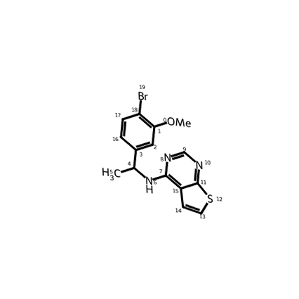 COc1cc(C(C)Nc2ncnc3sccc23)ccc1Br